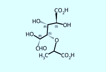 CC(O[C@@H]([C@H](O)[C@H](O)C(=O)O)[C@@H](O)C=O)C(=O)O